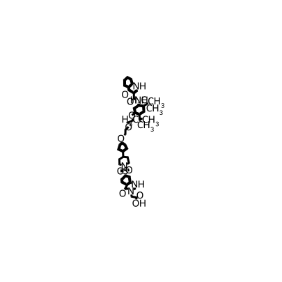 CC(C)(C)c1cc(C(C)(C)C)c(OCCOCCOc2ccc(C3CCN(S(=O)(=O)c4ccc5c(c4)NCN(CC(=O)O)C5=O)CC3)cc2)cc1NC(=O)c1c[nH]c2ccccc2c1=O